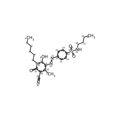 CCCCCCn1c(O)c(/N=N/c2ccc(S(=O)(=O)NCCCC)cc2)c(C)c(C#N)c1=O